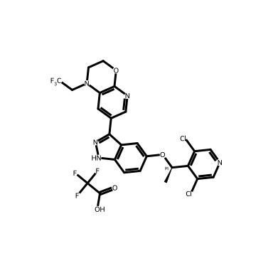 C[C@@H](Oc1ccc2[nH]nc(-c3cnc4c(c3)N(CC(F)(F)F)CCO4)c2c1)c1c(Cl)cncc1Cl.O=C(O)C(F)(F)F